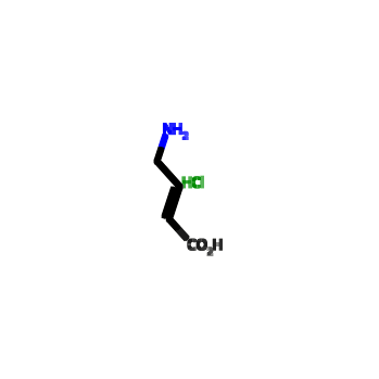 Cl.NCC=CC(=O)O